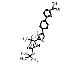 CC(C)(C)OC(=O)NC(c1ncc(-c2ccc(-c3ccc(B(O)O)s3)cc2)[nH]1)C(C)(C)C